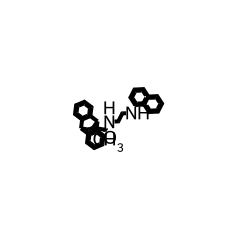 CC1(C(=O)NCCNc2cccc3ccccc23)CC2c3ccccc3C1c1ccccc12